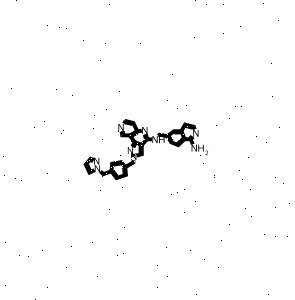 Nc1nccc2cc(CNc3nc4ccncc4c4nn(Cc5ccc(Cn6cccn6)cc5)cc34)ccc12